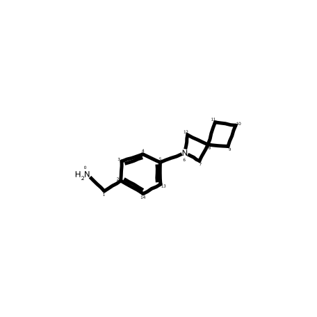 NCc1ccc(N2CC3(CCC3)C2)cc1